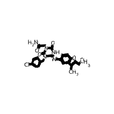 CCc1oc2ccc(/N=c3\[nH]c(=O)n(CC(N)=O)c(=O)n3Cc3ccc(Cl)cc3)cc2c1C